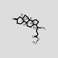 COC(=O)CCC(C)C1CC[C@H]2[C@@H]3CC[C@@H]4CC(=O)CC[C@]4(C)[C@H]3CC[C@]12C